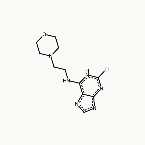 Clc1nc2ncnc-2c(NCCN2CCOCC2)[nH]1